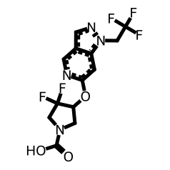 O=C(O)N1CC(Oc2cc3c(cn2)cnn3CC(F)(F)F)C(F)(F)C1